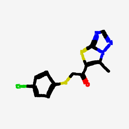 Cc1c(C(=O)CSc2ccc(Cl)cc2)sc2ncnn12